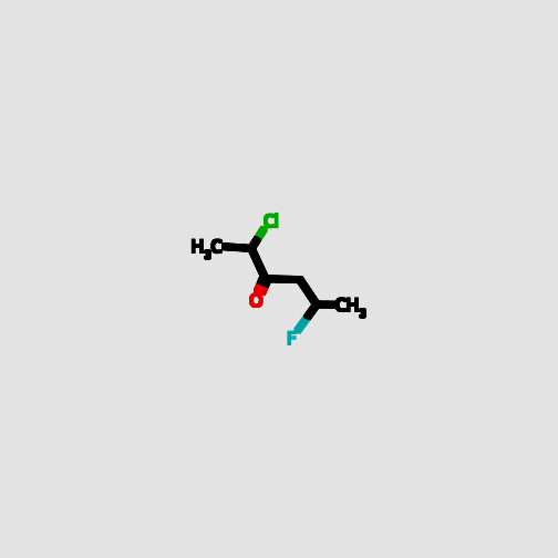 CC(F)CC(=O)C(C)Cl